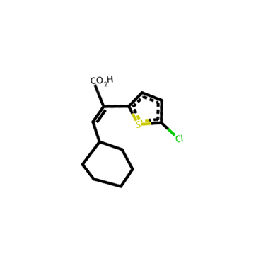 O=C(O)C(=CC1CCCCC1)c1ccc(Cl)s1